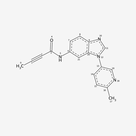 CC#CC(=O)Nc1ccc2ncn(-c3ccc(C)nc3)c2c1